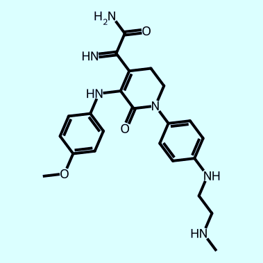 CNCCNc1ccc(N2CCC(C(=N)C(N)=O)=C(Nc3ccc(OC)cc3)C2=O)cc1